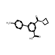 Cc1ccc(-c2cc(C(=O)O)cc(C(=O)N3CCC3)c2)cc1